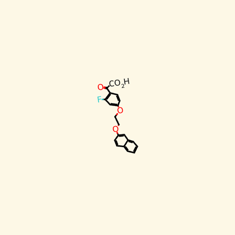 O=C(O)C(=O)c1ccc(OCCOc2ccc3ccccc3c2)cc1F